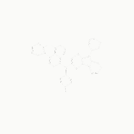 Fc1ccc(N(c2ccc3c(c2)c2ccccc2n3-c2ccccc2)c2ccc3c4c(cccc24)Oc2ccccc2-3)cc1